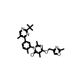 Cc1nc(COc2nc(C)n(-c3cc(-c4nc(C(C)(C)C)ncc4C)ccc3C)c(=O)c2C)co1